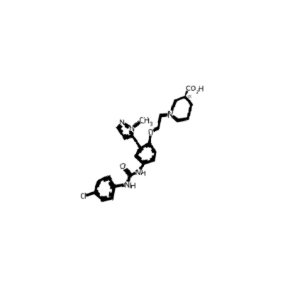 Cn1nccc1-c1cc(NC(=O)Nc2ccc(Cl)cc2)ccc1OCCN1CCC[C@H](C(=O)O)C1